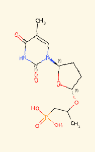 Cc1cn([C@H]2CC[C@H](OC(C)CP(=O)(O)O)O2)c(=O)[nH]c1=O